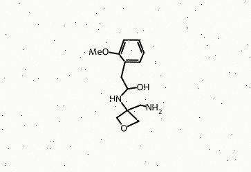 COc1ccccc1CC(O)NC1(CN)COC1